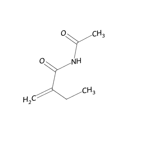 C=C(CC)C(=O)NC(C)=O